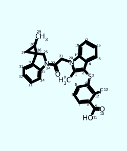 Cc1c(Sc2cccc(C(=O)O)c2F)c2ccccc2n1CC(=O)N1CC2(CC2C)c2ccccc21